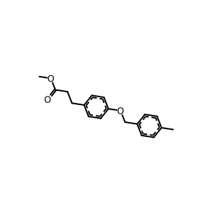 COC(=O)CCc1ccc(OCc2ccc(C)cc2)cc1